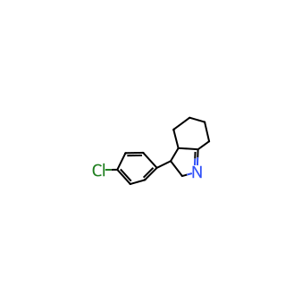 Clc1ccc(C2CN=C3CCCCC32)cc1